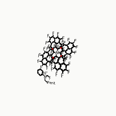 CCCC(C)C[NH+](CF)c1ccccc1.Fc1c(F)c2c(F)c(F)c3c(F)c(F)[c]([Al-]([c]4c(F)c(F)c5c(F)c(F)c6c(F)c(F)c(F)c7c(F)c(F)c4c5c67)([c]4c(F)c(F)c5c(F)c(F)c6c(F)c(F)c(F)c7c(F)c(F)c4c5c67)[c]4c(F)c(F)c5c(F)c(F)c6c(F)c(F)c(F)c7c(F)c(F)c4c5c67)c4c(F)c(F)c(c1F)c2c34